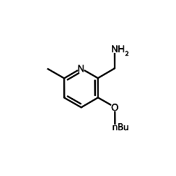 CCCCOc1ccc(C)nc1CN